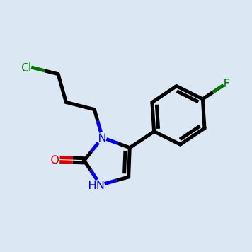 O=c1[nH]cc(-c2ccc(F)cc2)n1CCCCl